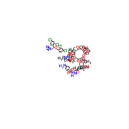 CC[C@H]1OC(=O)[C@H](C)[C@@H](O[C@H]2C[C@@](C)(OC)[C@@H](O)[C@H](C)O2)[C@H](C)[C@@H](O[C@@H]2O[C@H](C)C[C@H](N(C)C)[C@H]2O)[C@](C)(O)C[C@@H](C)C(=O)[C@H](C)[C@@H](O)[C@]1(C)O.Cc1cc(NS(=O)(=O)c2ccc(N)cc2)no1.Clc1ccc(COC(Cn2ccnc2)c2ccc(Cl)cc2Cl)c(Cl)c1